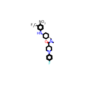 CN(C[C@H]1CC[C@H](Nc2ccc([N+](=O)[O-])c(C(F)(F)F)c2)CC1)C(=O)C1CCN(c2ccc(F)cc2)CC1